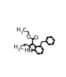 C=Cc1[nH]c2cccc(Cc3ccccc3)c2c1C(=O)OCC